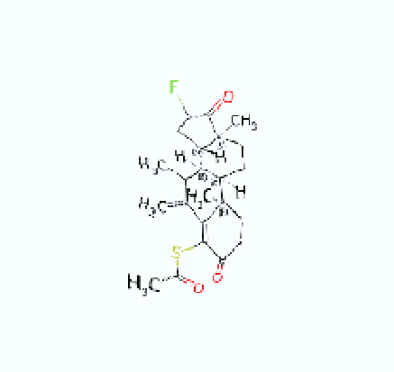 C=C1C2=C(SC(C)=O)C(=O)CC[C@]2(C)[C@@H]2CC[C@]3(C)C(=O)C(F)C[C@H]3[C@@H]2C1C